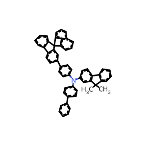 CC1(C)c2ccccc2-c2ccc(N(c3ccc(-c4ccccc4)cc3)c3ccc(-c4ccc5c(c4)C4(c6ccccc6-5)c5cccc6cccc4c56)cc3)cc21